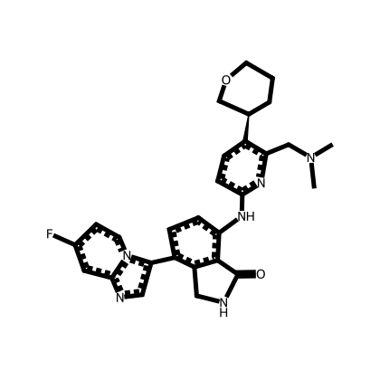 CN(C)Cc1nc(Nc2ccc(-c3cnc4cc(F)ccn34)c3c2C(=O)NC3)ccc1[C@@H]1CCCOC1